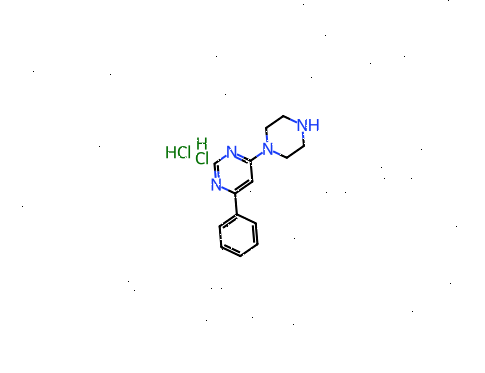 Cl.Cl.c1ccc(-c2cc(N3CCNCC3)ncn2)cc1